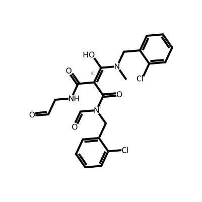 CN(Cc1ccccc1Cl)/C(O)=C(/C(=O)NCC=O)C(=O)N(C=O)Cc1ccccc1Cl